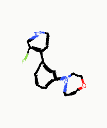 Fc1cnccc1-c1c[c]cc(N2CCOCC2)c1